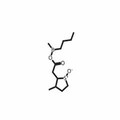 CCCCB(C)OC(=O)CC1C(C)CC[S+]1[O-]